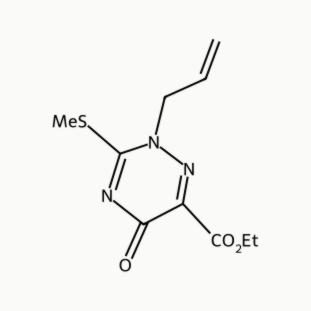 C=CCn1nc(C(=O)OCC)c(=O)nc1SC